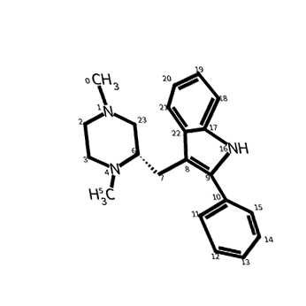 CN1CCN(C)[C@@H](Cc2c(-c3ccccc3)[nH]c3ccccc23)C1